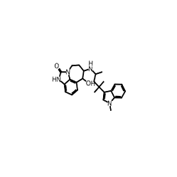 CC(CC(C)(C)c1cn(C)c2ccccc12)NC1CCn2c(=O)[nH]c3cccc(c32)C1O